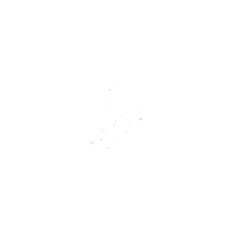 Cc1cc(-c2c(C)cccc2C)c2ccc(O[C@H](C)C(=O)N3CCCCC3)cc2n1